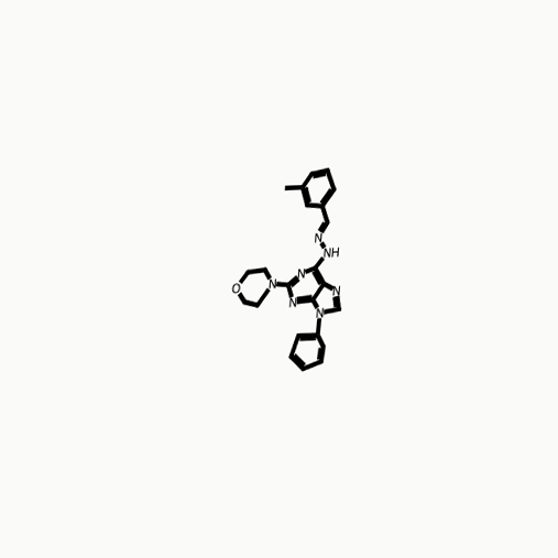 Cc1cccc(C=NNc2nc(N3CCOCC3)nc3c2ncn3-c2ccccc2)c1